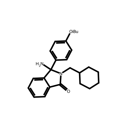 CC(C)COc1ccc(C2(N)c3ccccc3C(=O)N2CC2CCCCC2)cc1